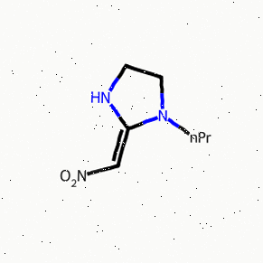 CCCN1CCN/C1=C\[N+](=O)[O-]